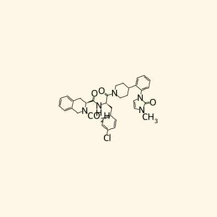 Cn1ccn(-c2ccccc2C2CCN(C(=O)[C@@H](Cc3ccc(Cl)cc3)NC(=O)[C@@H]3Cc4ccccc4CN3C(=O)O)CC2)c1=O